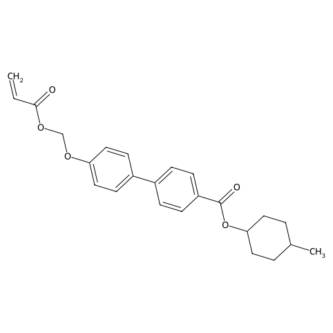 C=CC(=O)OCOc1ccc(-c2ccc(C(=O)OC3CCC(C)CC3)cc2)cc1